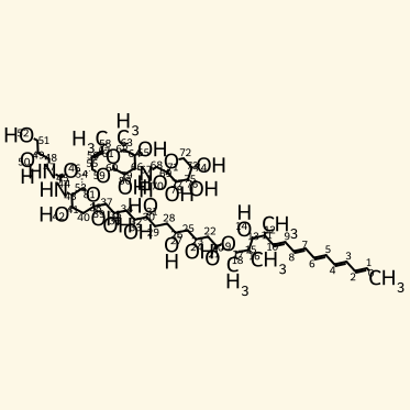 C/C=C/C=C/C=C/C=C/C=C/[C@H](C)[C@@H](O)[C@@H](C)[C@H](C)OC(=O)C[C@H](O)C[C@H](O)CC[C@@H](O)[C@H](O)C[C@H](O)C[C@]1(O)C[C@H](O)[C@@H](NC(=O)NC[C@H](O)CO)[C@H](C[C@H](/C=C/C)O[C@@H]2O[C@H](C)[C@@H](O)[C@H](NC[C@@]3(O)OC[C@@H](O)[C@H](O)[C@@H]3O)[C@@H]2O)O1